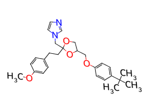 COc1ccc(CCC2(Cn3ccnc3)OCC(COc3ccc(C(C)(C)C)cc3)O2)cc1